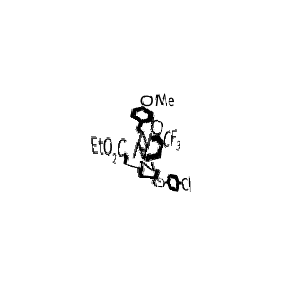 CCOC(=O)CC[C@@H]1C[C@@H](Oc2ccc(Cl)cc2)CN1c1cc(C(F)(F)F)c(=O)n(Cc2ccc(OC)cc2)n1